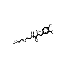 COCCOCCNC(=O)[C@@H](N)Cc1ccc(Cl)c(Cl)c1